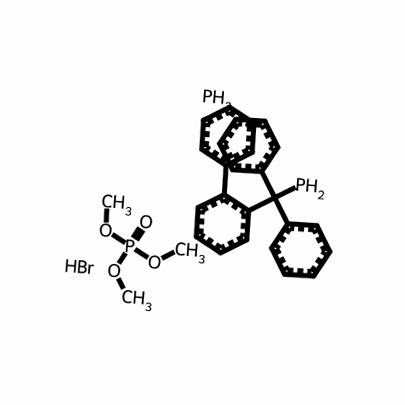 Br.COP(=O)(OC)OC.P.PC(c1ccccc1)(c1ccccc1)c1ccccc1-c1ccccc1